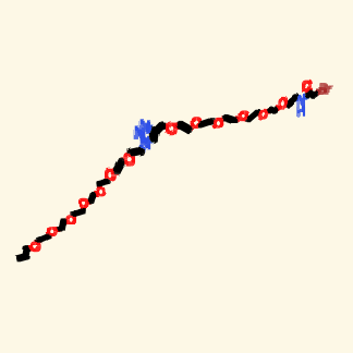 CCCOCCOCCOCCOCCOCCOCCOCCn1cc(COCCOCCOCCOCCOCCOCCNC(=O)CBr)nn1